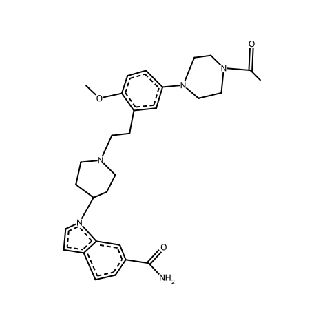 COc1ccc(N2CCN(C(C)=O)CC2)cc1CCN1CCC(n2ccc3ccc(C(N)=O)cc32)CC1